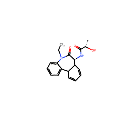 C[C@H](O)C(=O)N[C@@H]1C(=O)N(CC(F)(F)F)c2ccccc2C2C=CC=CC21